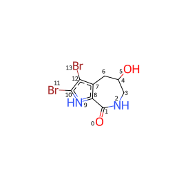 O=C1NCC(O)Cc2c1[nH]c(Br)c2Br